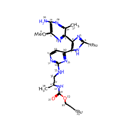 COc1nc(-c2nc(C(C)(C)C)[nH]c2-c2ccnc(NC[C@H](C)NC(=O)OCC(C)(C)C)n2)c(C)nc1N